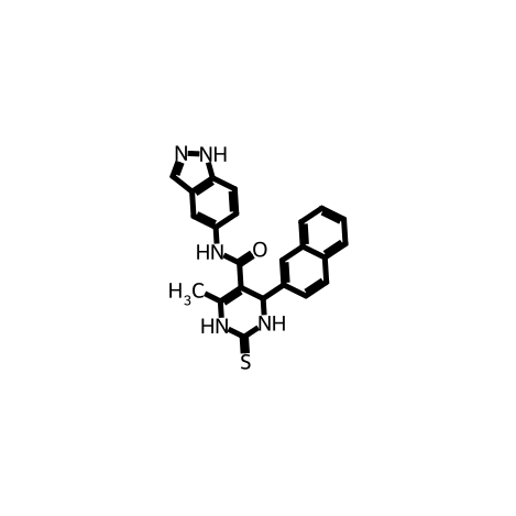 CC1=C(C(=O)Nc2ccc3[nH]ncc3c2)C(c2ccc3ccccc3c2)NC(=S)N1